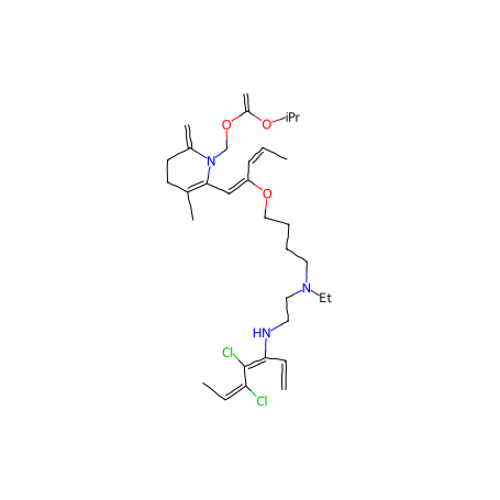 C=C/C(NCCN(CC)CCCCOC(/C=C\C)=C/C1=C(C)CCC(=C)N1COC(=C)OC(C)C)=C(Cl)\C(Cl)=C/C